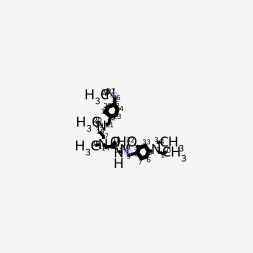 CCN(CC)c1ccc(/C=N/NC(=O)CN(C)CCN(C)Cc2ccc(/C=N\C)cc2)c(O)c1